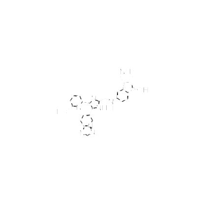 Cc1cccc(-c2nc(CNc3ccc4c(c3)C(CN)OB4O)[nH]c2-c2ccc3ncnn3c2)n1